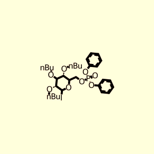 CCCCOC1[C@H](OCCCC)C(COP(=O)(Oc2ccccc2)Oc2ccccc2)OC(I)[C@@H]1OCCCC